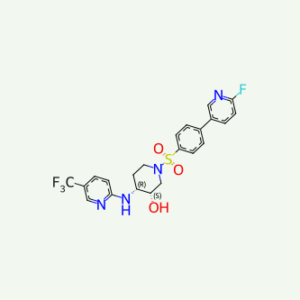 O=S(=O)(c1ccc(-c2ccc(F)nc2)cc1)N1CC[C@@H](Nc2ccc(C(F)(F)F)cn2)[C@@H](O)C1